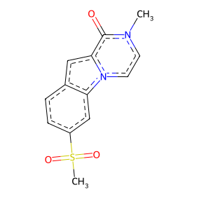 Cn1ccn2c(cc3ccc(S(C)(=O)=O)cc32)c1=O